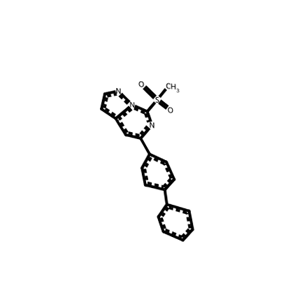 CS(=O)(=O)c1nc(-c2ccc(-c3ccccc3)cc2)cc2ccnn12